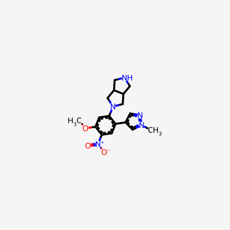 COc1cc(N2CC3CNCC3C2)c(-c2cnn(C)c2)cc1[N+](=O)[O-]